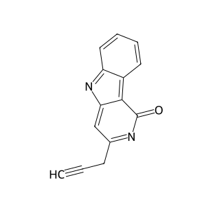 C#CCC1=NC(=O)C2=c3ccccc3=NC2=C1